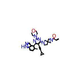 C=CC(=O)N1CC2(CCN(c3nc(N4CCOCC4)nc(-c4c(C)ccc5[nH]ncc45)c3C#CC3CC3)C2)C1